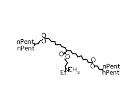 CCCCCC(CCCCC)CCOC(=O)CCCCCCCCC(CCCCCCCC(=O)OCCC(CCCCC)CCCCC)C(=O)OCCCN(C)CC